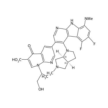 CNc1cc(F)c(F)c2c1[nH]c1ncc(-c3cnc4c(c3)c(=O)c(C(=O)O)cn4C(C)CO)c(N3CC[C@H]4CN(C)C[C@H]43)c12